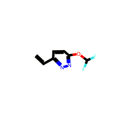 C=Cc1ccc(OC(F)F)nn1